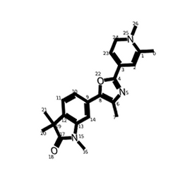 CC1=CC(c2nc(C)c(-c3ccc4c(c3)N(C)C(=O)C4(C)C)o2)=CCN1C